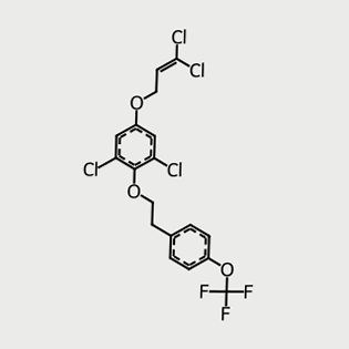 FC(F)(F)Oc1ccc(CCOc2c(Cl)cc(OCC=C(Cl)Cl)cc2Cl)cc1